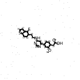 COc1cc(-c2cc(NCCc3ccc4sccc4c3F)ncn2)ccc1CC(=O)O